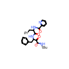 CC(C)CC(NC(=O)c1ccccn1)C(=O)NC(Cc1ccccc1)C(=O)C(=O)NC(C)(C)C